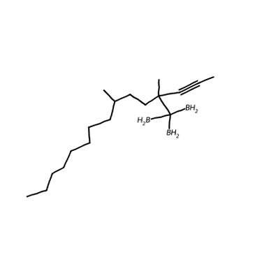 BC(B)(B)C(C)(C#CC)CCC(C)CCCCCCCC